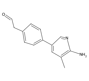 Cc1cc(-c2ccc(CC=O)cc2)cnc1N